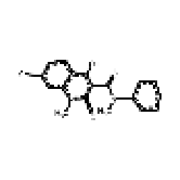 CN(C(=S)c1c(O)c2ccc(Cl)cc2n(C)c1=O)c1ccccc1